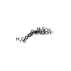 CC(=O)c1ccc(N2CCN(C(=O)CN3CC[C@@H](C(=O)Nc4ccc(O)c(C(C)C)c4)C3)CC2)cc1